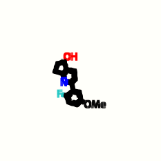 COc1ccc(F)c(-c2ccc3c(n2)CC[C@@H]3O)c1